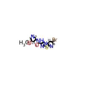 COc1cncc(NC(=O)c2cn3c(n2)sc2ncc(Br)cc23)c1